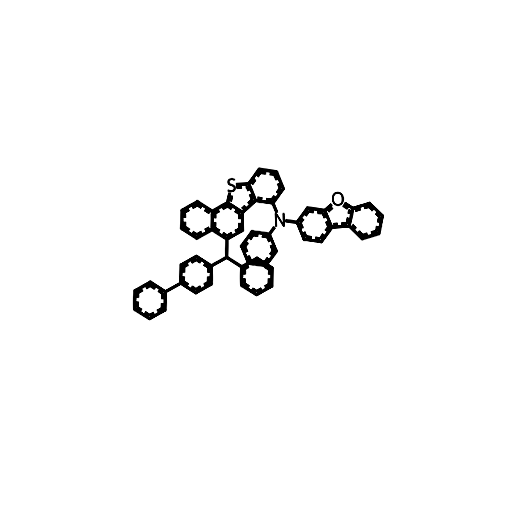 c1ccc(-c2ccc(C(c3ccccc3)c3cc4c(sc5cccc(N(c6ccccc6)c6ccc7c(c6)oc6ccccc67)c54)c4ccccc34)cc2)cc1